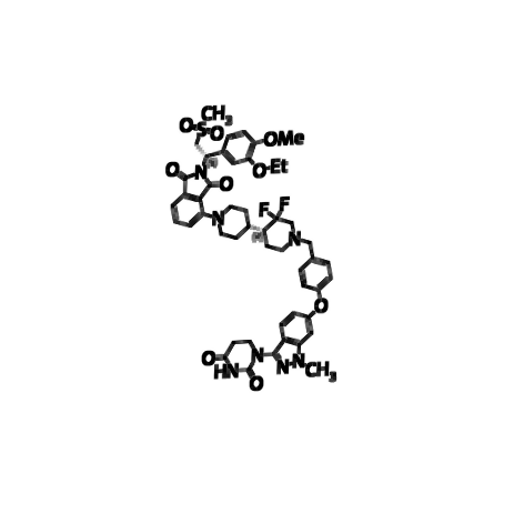 CCOc1cc([C@@H](CS(C)(=O)=O)N2C(=O)c3cccc(N4CCC([C@H]5CCN(Cc6ccc(Oc7ccc8c(N9CCC(=O)NC9=O)nn(C)c8c7)cc6)CC5(F)F)CC4)c3C2=O)ccc1OC